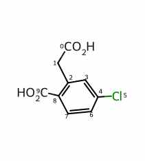 O=C(O)Cc1cc(Cl)ccc1C(=O)O